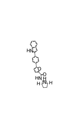 O=C(N[C@@H]1C[C@H]2CC[C@@H]1N2)c1ccc(-c2ccc(-c3cc4ccccc4[nH]3)cc2)o1